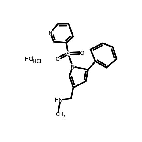 CNCc1cc(-c2ccccc2)n(S(=O)(=O)c2cccnc2)c1.Cl.Cl